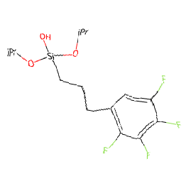 CC(C)O[Si](O)(CCCc1cc(F)c(F)c(F)c1F)OC(C)C